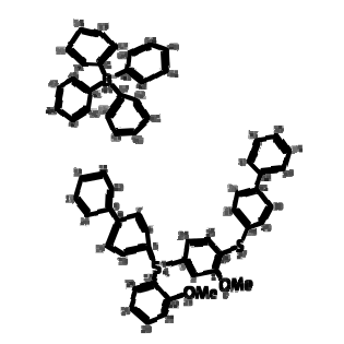 COc1cc([S+](c2ccc(-c3ccccc3)cc2)c2ccccc2OC)ccc1Sc1ccc(-c2ccccc2)cc1.c1ccc([B-](c2ccccc2)(c2ccccc2)c2ccccc2)cc1